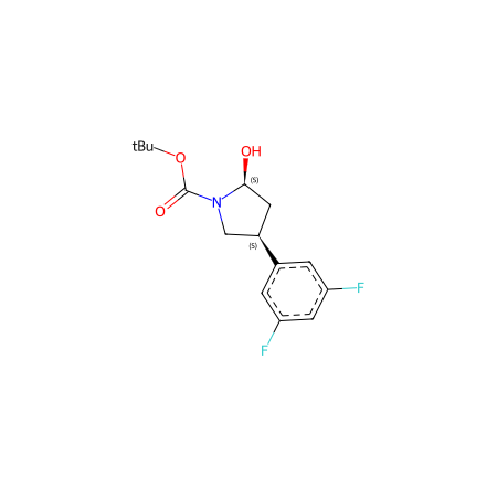 CC(C)(C)OC(=O)N1C[C@H](c2cc(F)cc(F)c2)C[C@@H]1O